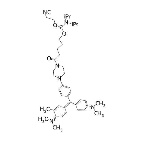 [C-]#[N+]CCOP(OCCCCC(=O)N1CCN(c2ccc(/C(=C3/C=CC(=[N+](C)C)C(C)=C3)c3ccc(N(C)C)cc3)cc2)CC1)N(C(C)C)C(C)C